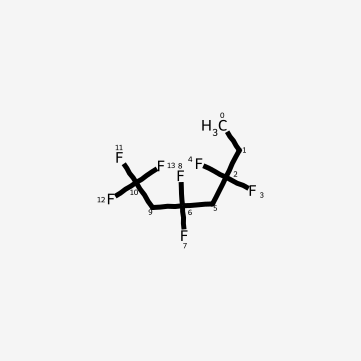 CCC(F)(F)CC(F)(F)CC(F)(F)F